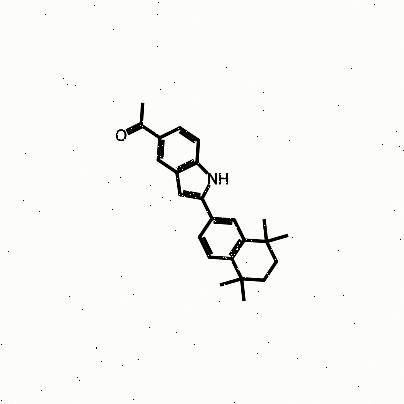 CC(=O)c1ccc2[nH]c(-c3ccc4c(c3)C(C)(C)CCC4(C)C)cc2c1